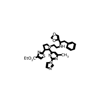 CCOC(=O)c1csc(C2CCN(CCNC(Cc3ccccc3)C3=COCO3)C2c2cc(C)nc(-n3ccnc3)n2)n1